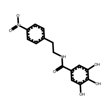 O=C(NCCc1ccc([N+](=O)[O-])cc1)c1cc(O)c(O)c(O)c1